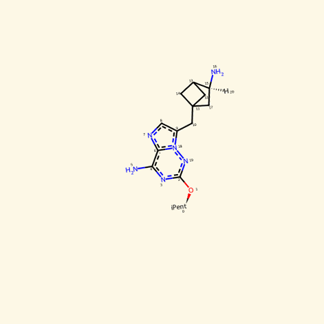 CCC[C@H](C)Oc1nc(N)c2ncc(CC34CC(C3)[C@@H](N)C4)n2n1